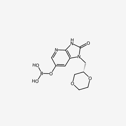 O=c1[nH]c2ncc(OB(O)O)cc2n1C[C@H]1COCCO1